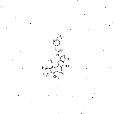 CC1=C(C#N)C(c2cc3c(NC(=O)Cc4ccc(C)nc4)n[nH]c3c(C)c2F)C(C#N)=C(C)N1C